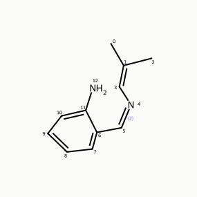 CC(C)=C/N=C\c1ccccc1N